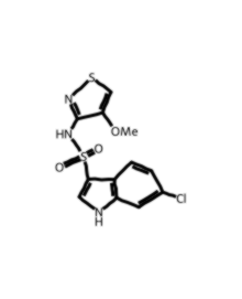 COc1csnc1NS(=O)(=O)c1c[nH]c2cc(Cl)ccc12